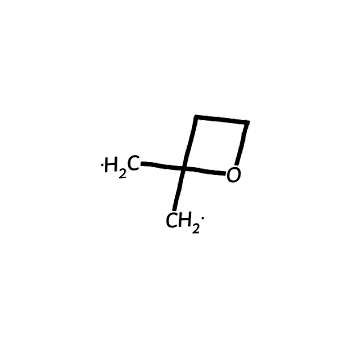 [CH2]C1([CH2])CCO1